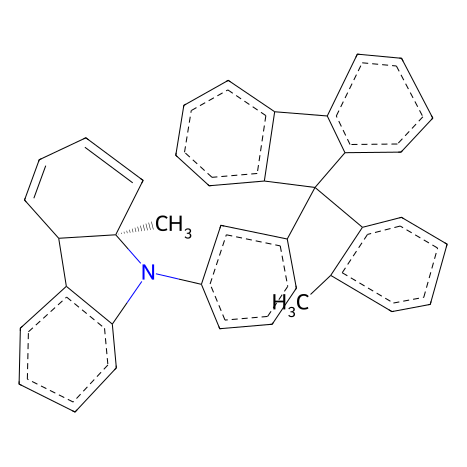 Cc1ccccc1C1(c2cccc(N3c4ccccc4C4C=CC=C[C@]43C)c2)c2ccccc2-c2ccccc21